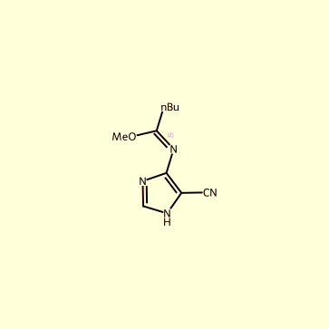 CCCC/C(=N/c1nc[nH]c1C#N)OC